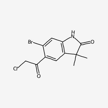 CC1(C)C(=O)Nc2cc(Br)c(C(=O)CCl)cc21